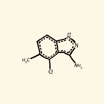 Cc1ccc2[nH]nc(N)c2c1Cl